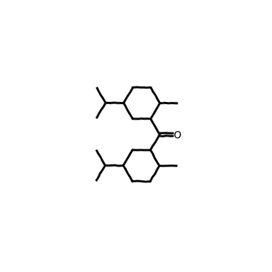 CC(C)C1CCC(C)C(C(=O)C2CC(C(C)C)CCC2C)C1